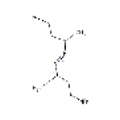 CC(C)CCC(C)/N=N/C(C)CCC(C)C